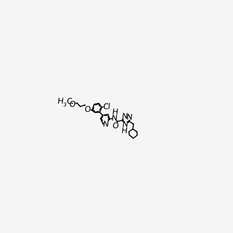 COCCCOc1ccc(Cl)c(-c2ccnc(NC(=O)c3nnc(CC4CCCCC4)[nH]3)c2)c1